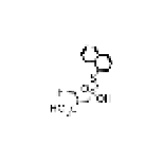 CC(C)CC(CP(=O)(O)CSc1cccc2ccccc12)C(=O)O